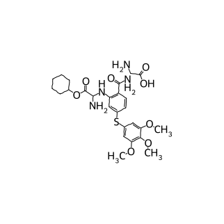 COc1cc(Sc2ccc(C(N)=O)c(NC(N)C(=O)OC3CCCCC3)c2)cc(OC)c1OC.NCC(=O)O